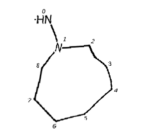 [NH]N1CCCCCCC1